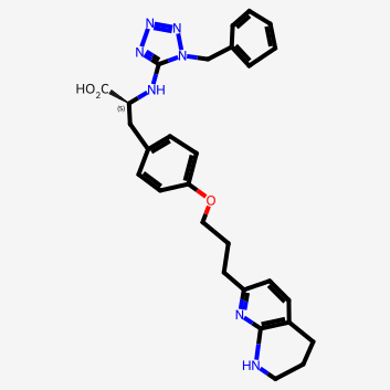 O=C(O)[C@H](Cc1ccc(OCCCc2ccc3c(n2)NCCC3)cc1)Nc1nnnn1Cc1ccccc1